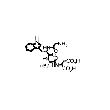 CCCC[C@@H](C(=O)N[C@@H](CC(=O)O)C(=O)O)N(C)C(=O)[C@H](Cc1c[nH]c2ccccc12)NC(=O)CN